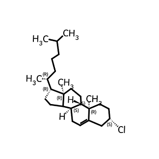 CC(C)CCC[C@@H](C)[C@H]1CCC2[C@@H]3CC=C4C[C@@H](Cl)CC[C@]4(C)[C@H]3CC[C@@]21C